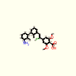 COc1cc(C(F)=Cc2cccc(-c3cccc(N)c3C)c2C)cc(OC)c1C(=O)O